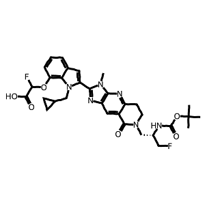 Cn1c(-c2cc3cccc(OC(F)C(=O)O)c3n2CC2CC2)nc2cc3c(nc21)CCN(C[C@@H](CF)NC(=O)OC(C)(C)C)C3=O